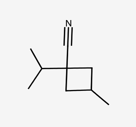 CC1CC(C#N)(C(C)C)C1